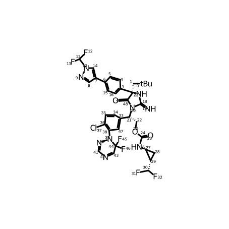 CC(C)(C)C[C@]1(c2ccc(-c3cnn(C(F)F)c3)cc2)NC(=N)N([C@H](COC(=O)N[C@H]2C[C@@H]2C(F)F)c2ccc(Cl)c(N3N=CN=CC3(F)F)c2)C1=O